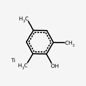 Cc1cc(C)c(O)c(C)c1.[Ti]